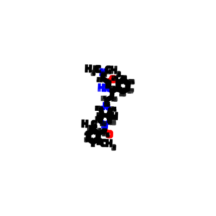 Cc1cccc(C)c1C(=O)N1CC2CN(CCC(NC(=O)CN(C)C)c3ccccc3)C[C@H]2C1